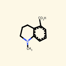 CN1CCCc2c(C(=O)O)cccc21